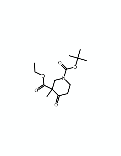 CCOC(=O)C1(C)CN(C(=O)OC(C)(C)C)CCC1=O